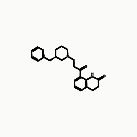 O=C1CCc2cccc(C(=O)CCN3CCC[C@H](Cc4ccccc4)C3)c2N1